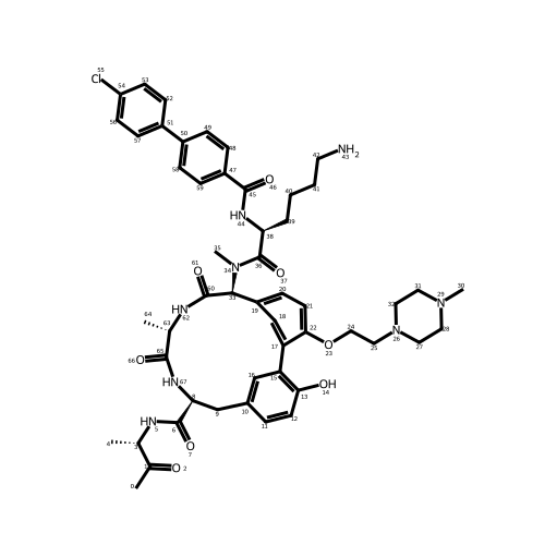 CC(=O)[C@H](C)NC(=O)[C@@H]1Cc2ccc(O)c(c2)-c2cc(ccc2OCCN2CCN(C)CC2)[C@H](N(C)C(=O)[C@H](CCCCN)NC(=O)c2ccc(-c3ccc(Cl)cc3)cc2)C(=O)N[C@@H](C)C(=O)N1